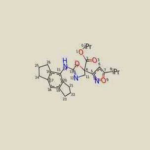 CC(C)OC(=O)C1(c2cc(C(C)C)on2)CN=C(Nc2c3c(cc4c2CCC4)CCC3)O1